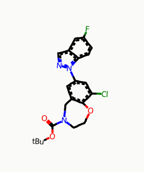 CC(C)(C)OC(=O)N1CCOc2c(Cl)cc(-n3ncc4cc(F)ccc43)cc2C1